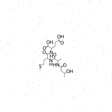 CSCCC(NC(=O)C(C)NC(=O)CC(C)O)C(=O)NC(CCC(=O)O)C(=O)O